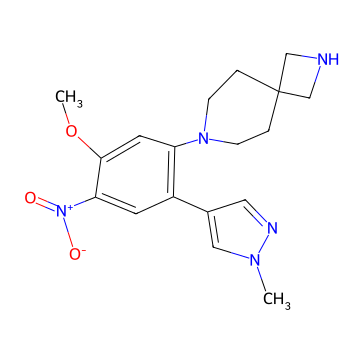 COc1cc(N2CCC3(CC2)CNC3)c(-c2cnn(C)c2)cc1[N+](=O)[O-]